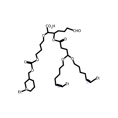 CC/C=C\CCCCOC(CCC(=O)OC(CCCC=O)C(OCCCCOC(=O)OCC1CCCN(CC)C1)C(=O)O)OCCCC/C=C\CC